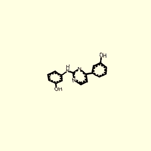 Oc1cccc(Nc2nccc(-c3cccc(O)c3)n2)c1